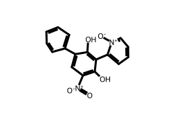 O=[N+]([O-])c1cc(-c2ccccc2)c(O)c(-c2cccc[n+]2[O-])c1O